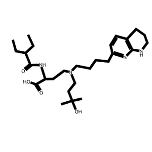 CCC(CC)C(=O)NC(CCN(CCCCc1ccc2c(n1)NCCC2)CCC(C)(C)O)C(=O)O